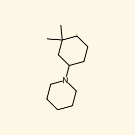 CC1(C)[CH]CCC(N2CCCCC2)C1